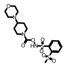 CS(=O)(=O)c1ccccc1S(=O)(=O)NOC(=O)N1CCC(N2CCOCC2)CC1